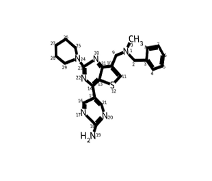 CN(Cc1ccccc1)Cc1csc2c(-c3cnc(N)nc3)nc(N3CCCCC3)nc12